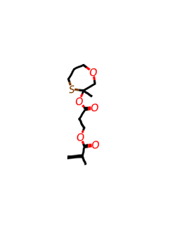 C=C(C)C(=O)OCCC(=O)OC1(C)COCCCS1